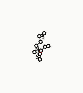 c1cc(-c2cccc(N(c3cccc(-c4ccc5ccccc5c4)c3)c3ccccc3-c3cccc4c3sc3ccccc34)c2)cc(-c2cccc3c2sc2ccccc23)c1